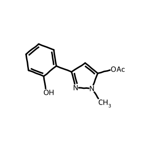 CC(=O)Oc1cc(-c2ccccc2O)nn1C